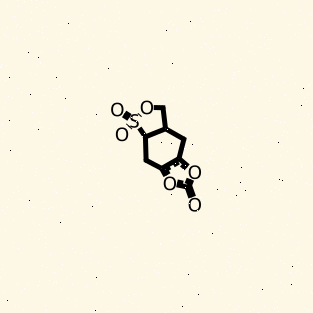 O=c1oc2c(o1)CC1C(COS1(=O)=O)C2